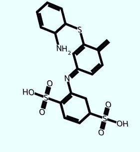 C=C1C=CC(=NC2=C(S(=O)(=O)O)C=CC(S(=O)(=O)O)C2)C=C1SC1C=CC=CC1N